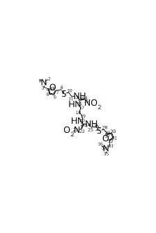 CN(C)Cc1ccc(CSCCN/C(=C/[N+](=O)[O-])NCCCN/C(=C\[N+](=O)[O-])NCCSCc2ccc(CN(C)C)o2)o1